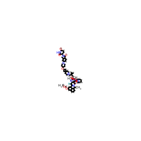 CCc1cccc2cc(OCOC)cc(-c3ncc4c(N5CC6CCC(C5)N6C(=O)OC(C)(C)C)nc(OCC5(CN6CCC7(CC6)CC(OC6CCN(c8ccc9c(c8)CN(C8CCC(=O)NC8=O)C9=O)CC6)C7)CC5)nc4c3F)c12